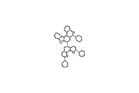 c1ccc(-c2ccc3cc(-c4cc5c(-c6ccccc6)nc6ccccc6c5c5c4oc4ccccc45)c4ccc(-c5ccccc5)nc4c3n2)cc1